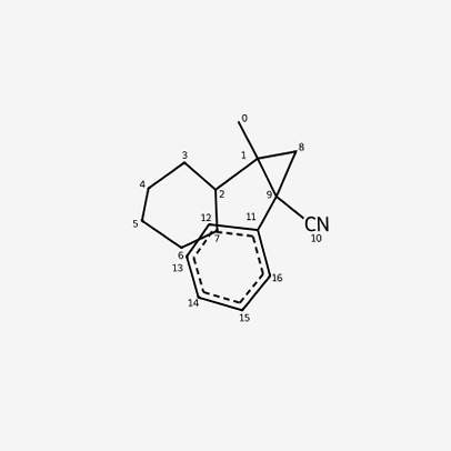 CC1(C2CCCCC2)CC1(C#N)c1ccccc1